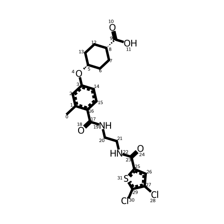 Cc1cc(O[C@H]2CC[C@@H](C(=O)O)CC2)ccc1C(=O)NCCNC(=O)c1cc(Cl)c(Cl)s1